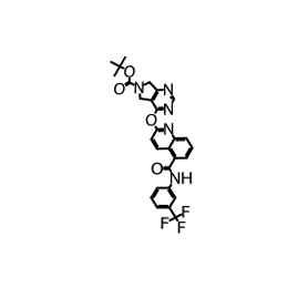 CC(C)(C)OC(=O)N1Cc2ncnc(Oc3ccc4c(C(=O)Nc5cccc(C(F)(F)F)c5)cccc4n3)c2C1